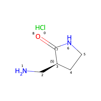 Cl.NC[C@@H]1CCNC1=O